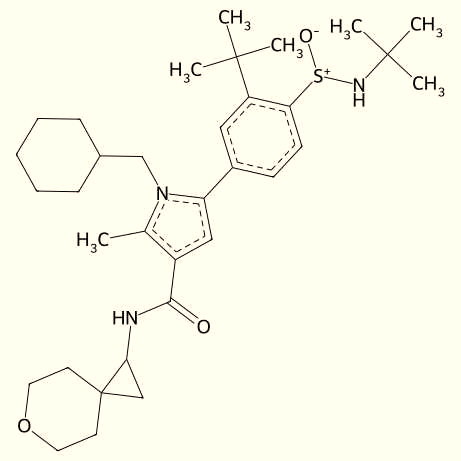 Cc1c(C(=O)NC2CC23CCOCC3)cc(-c2ccc([S+]([O-])NC(C)(C)C)c(C(C)(C)C)c2)n1CC1CCCCC1